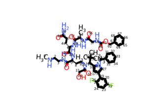 CNCCNC(=O)[C@H](CCN(C(=O)CO)[C@@H](c1cc(-c2cc(F)ccc2F)cn1Cc1ccccc1)C(C)(C)C)NC(=O)[C@H](CCC(N)=O)NC(=O)[C@H](C)NC(=O)CNC(=O)OCc1ccccc1